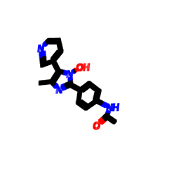 CC(=O)Nc1ccc(-c2nc(C)c(-c3cccnc3)n2O)cc1